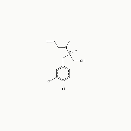 C=CCN(C)[C@@](C)(CO)Cc1ccc(Cl)c(Cl)c1